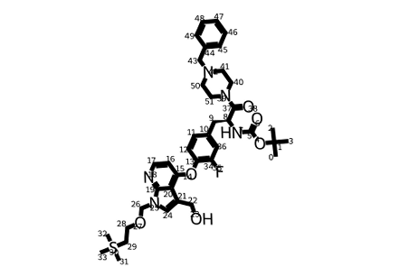 CC(C)(C)OC(=O)N[C@@H](Cc1ccc(Oc2ccnc3c2c(CO)cn3COCCS(C)(C)C)c(F)c1)C(=O)N1CCN(Cc2ccccc2)CC1